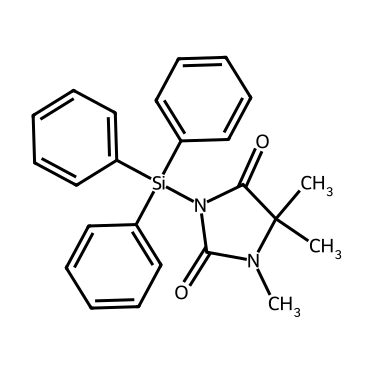 CN1C(=O)N([Si](c2ccccc2)(c2ccccc2)c2ccccc2)C(=O)C1(C)C